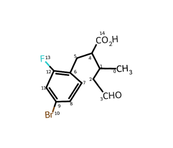 CC(CC=O)C(Cc1ccc(Br)cc1F)C(=O)O